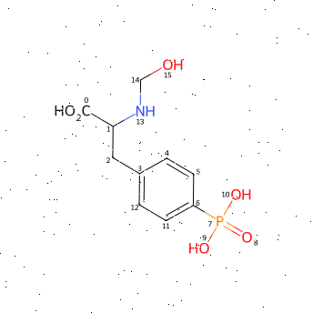 O=C(O)C(Cc1ccc(P(=O)(O)O)cc1)NCO